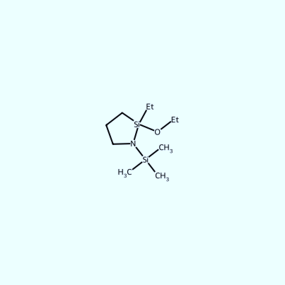 CCO[Si]1(CC)CCCN1[Si](C)(C)C